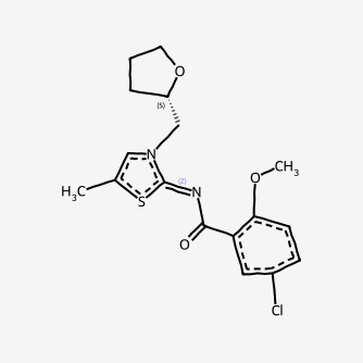 COc1ccc(Cl)cc1C(=O)/N=c1\sc(C)cn1C[C@@H]1CCCO1